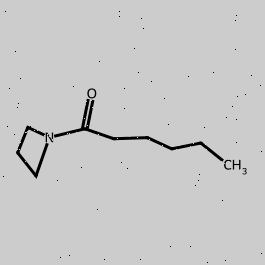 CCCCCC(=O)N1CCC1